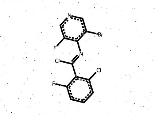 Fc1cncc(Br)c1N=C(Cl)c1c(F)cccc1Cl